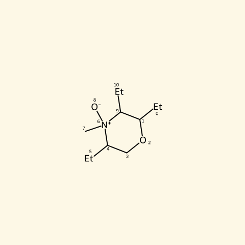 CCC1OCC(CC)[N+](C)([O-])C1CC